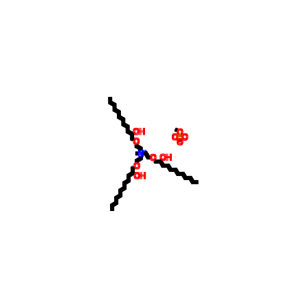 CCCCCCCCCCC(O)COCC[N+](C)(CCOCC(O)CCCCCCCCCC)CCOCC(O)CCCCCCCCCC.COS(=O)(=O)[O-]